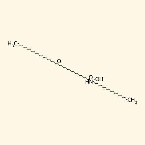 CCCCCCCCC=CCCCCCCCCCCCC(=O)CCCCCCCCCCCCCCCC(=O)NC(CO)CCCCCCCCCCCCCCCCCC